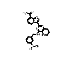 NC(=O)c1cccn2c(-c3nc4c(c(NCc5cccc(B(O)O)c5)n3)NCCC4)nnc12